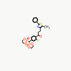 Cc1sc(-c2ccccc2)nc1CCC(=O)c1ccc(C(P2(=O)OCCO2)P2(=O)OCCO2)cc1F